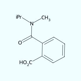 CC(C)N(C)C(=O)c1ccccc1C(=O)O